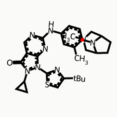 Cc1cc(Nc2ncc3c(=O)n(C4CC4)n(-c4nc(C(C)(C)C)cs4)c3n2)ccc1N1C2CCC1CN(C)C2